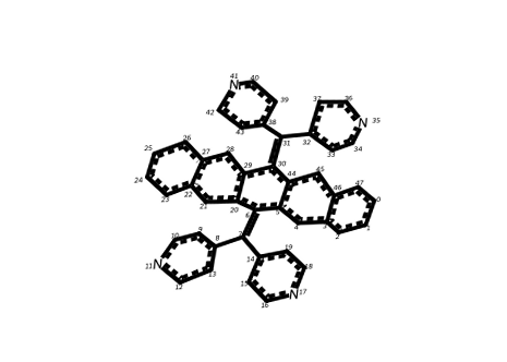 c1ccc2cc3c(=C(c4ccncc4)c4ccncc4)c4cc5ccccc5cc4c(=C(c4ccncc4)c4ccncc4)c3cc2c1